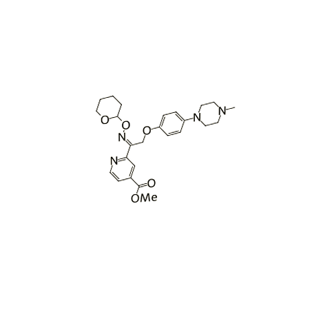 COC(=O)c1ccnc(/C(COc2ccc(N3CCN(C)CC3)cc2)=N/OC2CCCCO2)c1